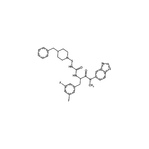 CN(C(=O)C(Cc1cc(F)cc(F)c1)NC(=O)NSN1CCC(Cc2ccccc2)CC1)c1ccc2scnc2c1